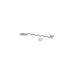 CCCCCCCCCCCCCCCCCCC[N+](C)(C)C.[Cl-]